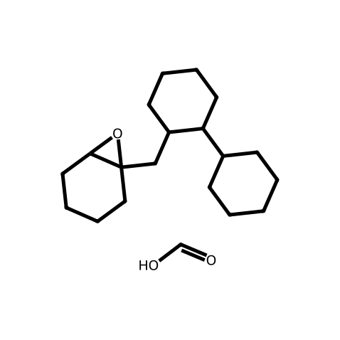 C1CCC(C2CCCCC2CC23CCCCC2O3)CC1.O=CO